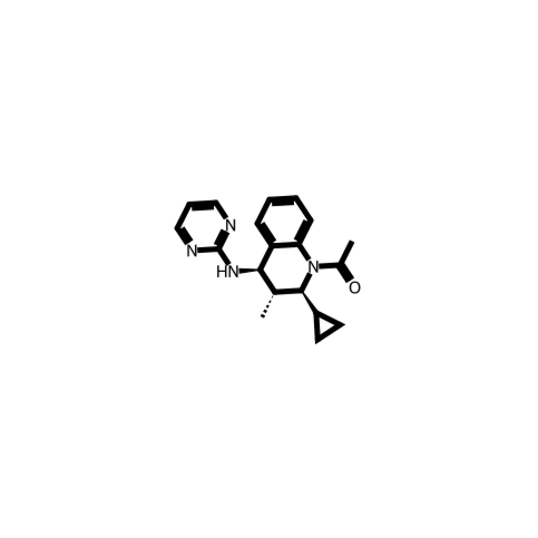 CC(=O)N1c2ccccc2[C@H](Nc2ncccn2)[C@@H](C)[C@@H]1C1CC1